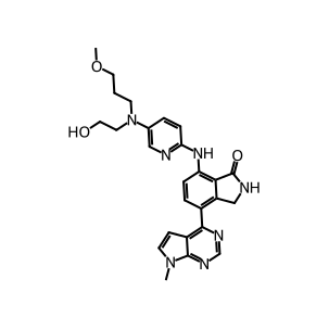 COCCCN(CCO)c1ccc(Nc2ccc(-c3ncnc4c3ccn4C)c3c2C(=O)NC3)nc1